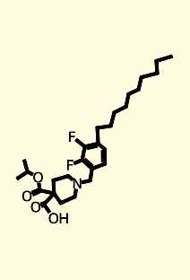 CCCCCCCCCCc1ccc(CN2CCC(C(=O)O)(C(=O)OC(C)C)CC2)c(F)c1F